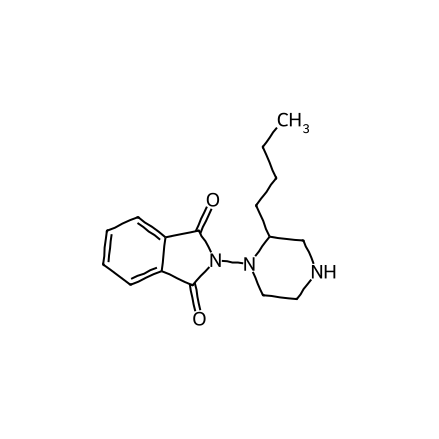 CCCCC1CNCCN1N1C(=O)c2ccccc2C1=O